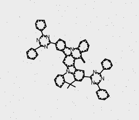 C=c1c2ccccc2n2c3ccc(-c4nc(-c5ccccc5)nc(-c5ccccc5)n4)cc3c3cc4c(c5cc(-c6nc(-c7ccccc7)nc(-c7ccccc7)n6)cc6c5n4-c4ccccc4C6(C)C)c1c32